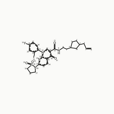 C=CCC1CCC(CCNC(=O)c2cn(-c3ccc(F)cc3F)c3nc(N4CCCS4(=O)=O)ccc3c2=O)C1